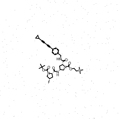 CC(C)(C)OC(=O)N1C[C@@H](F)C[C@H]1C(=O)N[C@@H]1C[C@H](C(=O)NCc2ccc(C#CC#CC3CC3)cc2)N(C(=O)OCC[Si](C)(C)C)C1